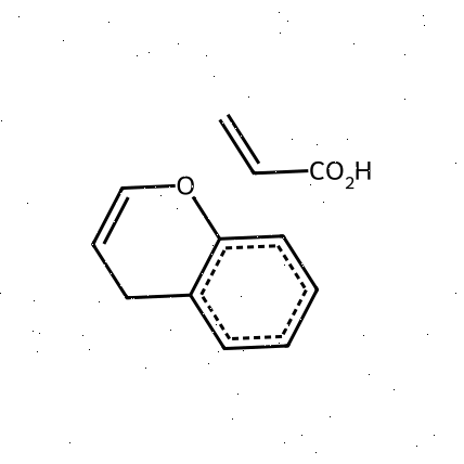 C1=COc2ccccc2C1.C=CC(=O)O